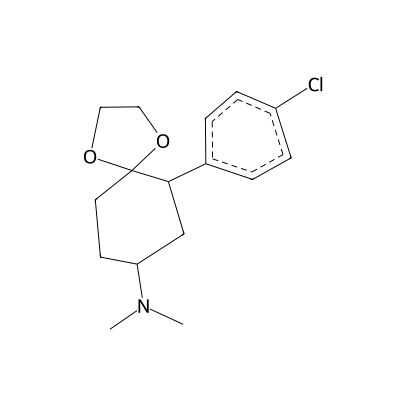 CN(C)C1CCC2(OCCO2)C(c2ccc(Cl)cc2)C1